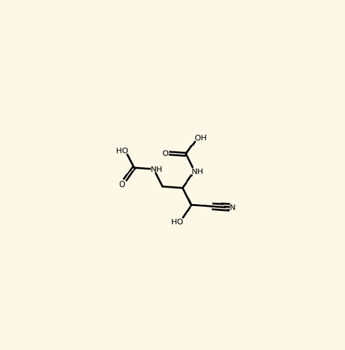 N#CC(O)C(CNC(=O)O)NC(=O)O